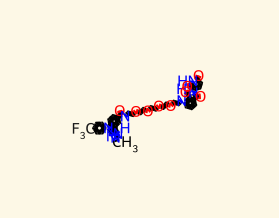 Cn1nc2c3cc(C(=O)NCCOCCOCCOCCOCCNc4cccc5c4C(=O)N(C4CCC(=O)NC4=O)C5=O)ccc3n([C@H]3CC[C@H](C(F)(F)F)CC3)c2n1